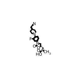 CN(C[C@H]1CN(c2ccc(N3CCC(=CC#N)CC3)c(F)c2)C(=O)O1)C(=O)O